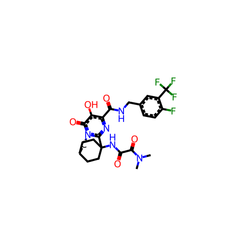 CN(C)C(=O)C(=O)NC12CCC(CC1)Cn1c2nc(C(=O)NCc2ccc(F)c(C(F)(F)F)c2)c(O)c1=O